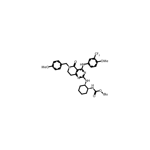 COc1ccc(CN2CCc3nc(N[C@@H]4CCCC[C@@H]4NC(=O)OC(C)(C)C)nc(Nc4ccc(OC)c(C(F)(F)F)c4)c3C2=O)cc1